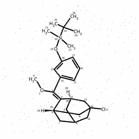 COC(=C1[C@@H]2CC3C[C@H]1CC(Cl)(C3)C2)c1cccc(O[Si](C)(C)C(C)(C)C)c1